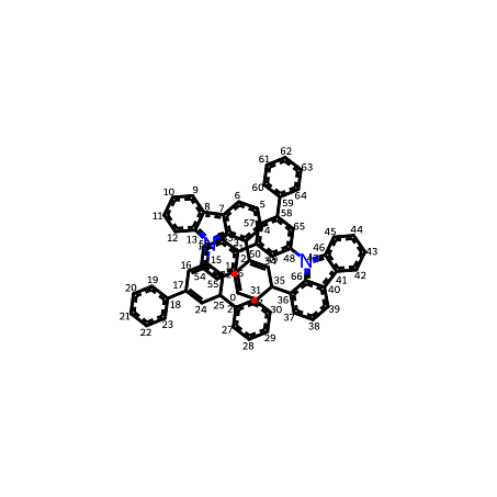 C1=CC(c2cccc3c4ccccc4n(C4=CC(c5ccccc5)=CC(c5ccccc5)C4)c23)=CC(c2cccc3c4ccccc4n(-c4cc(-c5ccccc5)cc(-c5ccccc5)c4)c23)C1